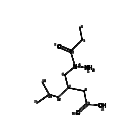 CCC(=O)N(N)CC(CC(=O)O)CC(C)C